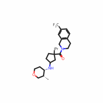 CC(C)C1(C(=O)N2CCc3ccc(C(F)(F)F)cc3C2)CCC(N[C@H]2CCOC[C@H]2C)C1